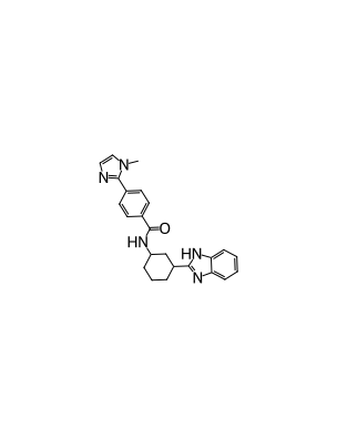 Cn1ccnc1-c1ccc(C(=O)NC2CCCC(c3nc4ccccc4[nH]3)C2)cc1